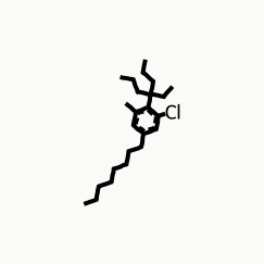 CCCCCCCCc1cc(C)c(C(CC)(CCC)CCC)c(Cl)c1